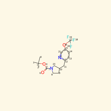 CC(C)(C)OC(=O)N1CCC(Cc2ccc(OC(F)(F)F)cn2)C1